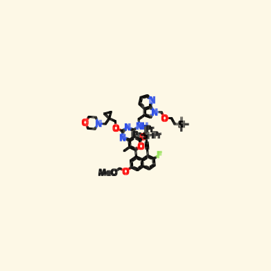 COCOc1cc(-c2oc(=O)c3c(NCc4cn(COCC[Si](C)(C)C)c5ncccc45)nc(OCC4(CN5CCOCC5)CC4)nc3c2C)c2c(C#C[Si](C(C)C)(C(C)C)C(C)C)c(F)ccc2c1